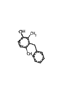 Cc1ccc(O)c(C)c1Cc1ccccc1